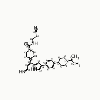 CC(C)N1CCC(c2ccc(-c3c[nH]c(/C(=C\C=N)N4CCN(C(=O)NCCC#N)CC4)c3)cc2)CC1